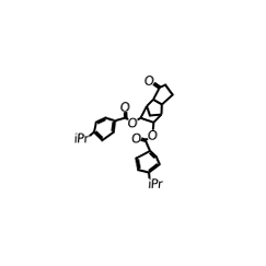 CC(C)c1ccc(C(=O)OC2C3CC(C2OC(=O)c2ccc(C(C)C)cc2)C2C(=O)CCC32)cc1